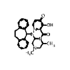 CC1CN(C)CC2N1C(=O)c1c(O)c(=O)ccn1N2C1c2ccccc2CCc2ccccc21